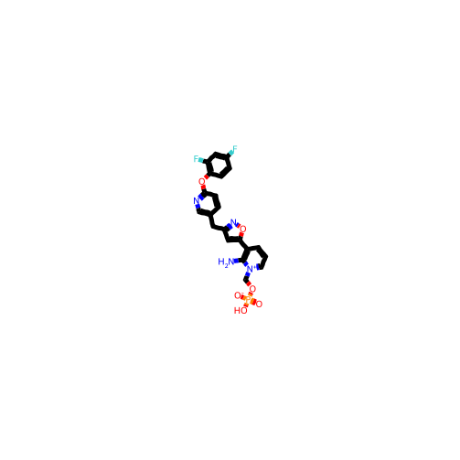 Nc1c(-c2cc(Cc3ccc(Oc4ccc(F)cc4F)nc3)no2)ccc[n+]1COP(=O)([O-])O